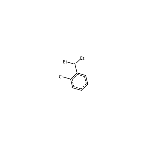 CCN(CC)c1ccc[c]c1Cl